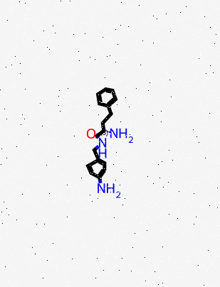 Nc1ccc(CNC(=O)[C@@H](N)CCc2ccccc2)cc1